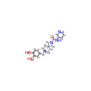 O=C(Nc1cccnc1)N1CC2(CCN(Cc3ccc(O)c(O)c3)CC2)C1